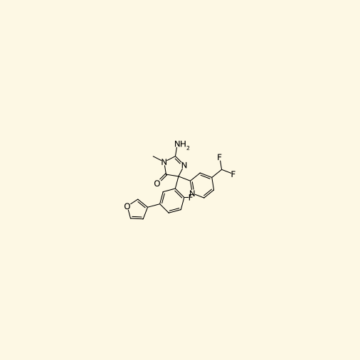 CN1C(=O)C(c2cc(C(F)F)ccn2)(c2cc(-c3ccoc3)ccc2F)N=C1N